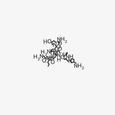 C=C(CN1CCC(CN)C1)NC(=C)[S+]([O-])C[C@H](NC(=O)CNC(=O)[C@@H](NC(=O)CN)[C@@H](C)CC)C(=O)N[C@@H](CC(N)=O)C(=O)N1C[C@H](O)C[C@H]1C(N)=O